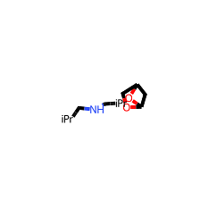 C1OC2CC1O2.CC(C)CNCC(C)C